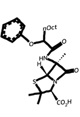 CCCCCCCCC(Oc1ccccc1)C(=O)N[C@@]1(C)C(=O)N2[C@@H](C(=O)O)C(C)(C)S[C@@H]21